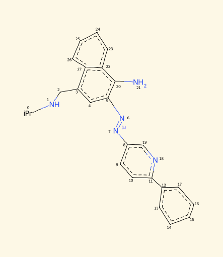 CC(C)NCc1cc(/N=N/c2ccc(-c3ccccc3)nc2)c(N)c2ccccc12